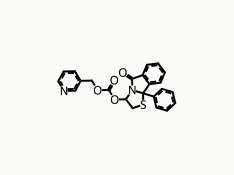 O=C(OCc1cccnc1)OC1CSC2(c3ccccc3)c3ccccc3C(=O)N12